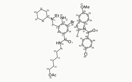 CCN(Cc1cc(C(=O)NCCCCCCOC(C)=O)cc(Br)c1N)C1CCCCC1.COc1ccc2c(c1)cc(C)n2C(=O)c1ccc(Cl)cc1